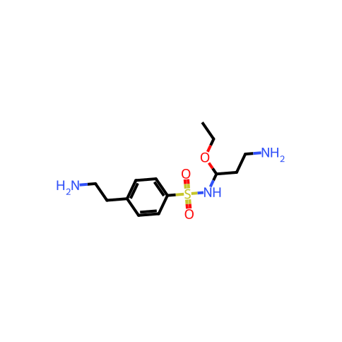 CCOC(CCN)NS(=O)(=O)c1ccc(CCN)cc1